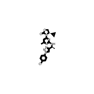 Cc1cc(N2C(=O)OC[C@@H]2C2CC2)nc(N[C@@H](C)c2cn(-c3ccc(Cl)cc3)nn2)n1